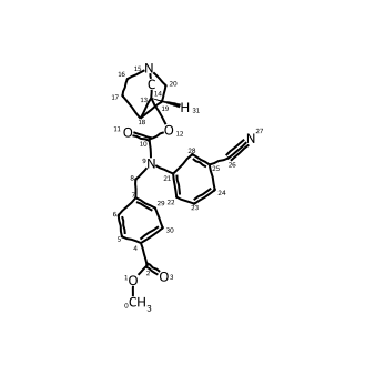 COC(=O)c1ccc(CN(C(=O)O[C@H]2CN3CCC2CC3)c2cccc(C#N)c2)cc1